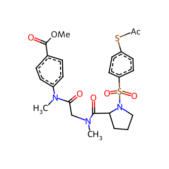 COC(=O)c1ccc(N(C)C(=O)CN(C)C(=O)C2CCCN2S(=O)(=O)c2ccc(SC(C)=O)cc2)cc1